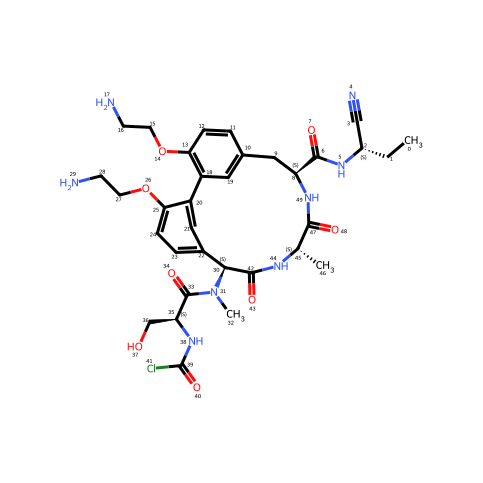 CC[C@@H](C#N)NC(=O)[C@@H]1Cc2ccc(OCCN)c(c2)-c2cc(ccc2OCCN)[C@H](N(C)C(=O)[C@H](CO)NC(=O)Cl)C(=O)N[C@@H](C)C(=O)N1